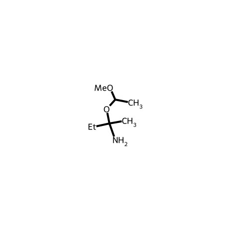 CCC(C)(N)OC(C)OC